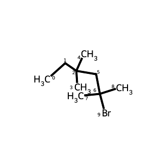 CCC(C)(C)CC(C)(C)Br